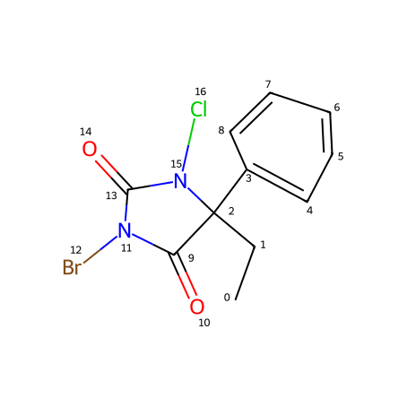 CCC1(c2ccccc2)C(=O)N(Br)C(=O)N1Cl